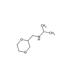 CC(C)NCC1COCCO1